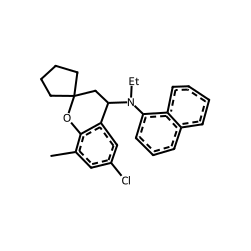 CCN(c1cccc2ccccc12)C1CC2(CCCC2)Oc2c(C)cc(Cl)cc21